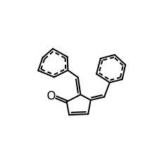 O=C1C=CC(=Cc2ccccc2)C1=Cc1ccccc1